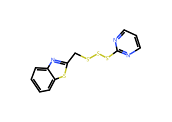 c1cnc(SSSCc2nc3ccccc3s2)nc1